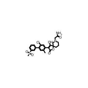 Cc1cc(-c2cccc(S(C)(=O)=O)c2)c(Cl)cc1C1=C(O)C2(CCCN(CC(N)=O)C2)OC1=O